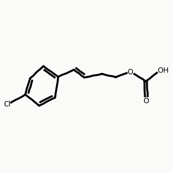 O=C(O)OCCC=Cc1ccc(Cl)cc1